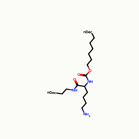 CCCCCCCCCCCCCCCCOC(=O)NC(CCCCN)C(=O)NCCCCCCCCCCCC